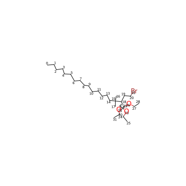 CCCCCCCCCCCCCCCC(C)(C)C(CCBr)[Si](OCC)(OCC)OCC